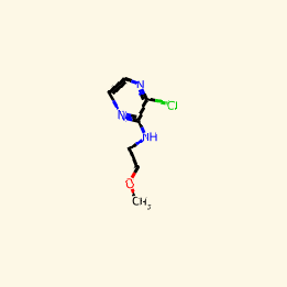 COCCNc1nccnc1Cl